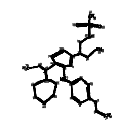 CCOc1ncc(Nc2cc(C(CC)CNS(C)(=O)=O)ccc2N(CC)C2CCOCC2)cn1